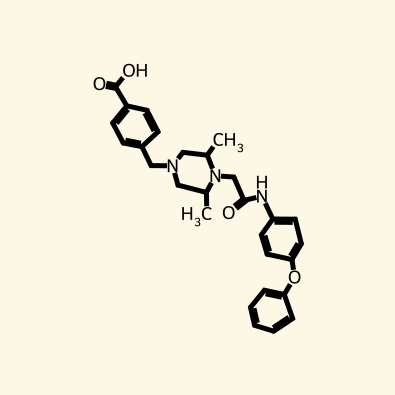 CC1CN(Cc2ccc(C(=O)O)cc2)CC(C)N1CC(=O)Nc1ccc(Oc2ccccc2)cc1